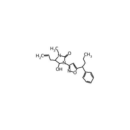 C=CCC1C(O)N(c2cc(C(CCC)c3ccccc3)on2)C(=O)N1C